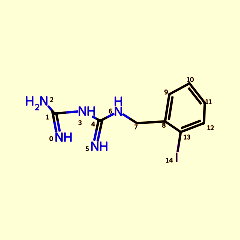 N=C(N)NC(=N)NCc1ccccc1I